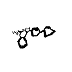 c1ccc(-c2ccc(C3NCNc4ccccc43)cc2)cc1